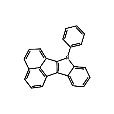 c1ccc(-n2c3c(c4ccccc42)-c2cccc4cccc-3c24)cc1